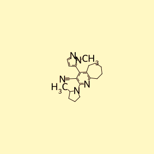 CC1CCCN1c1nc2c(c(-c3ccnn3C)c1C#N)CCCCC2